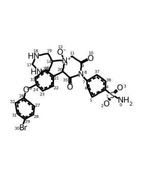 NS(=O)(=O)c1ccc(N2C(=O)C[N+]([O-])(C3CNCNC3)C(c3ccc(Oc4ccc(Br)cc4)cc3)C2=O)cc1